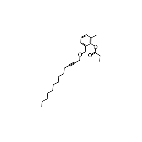 CCCCCCCCCCC#CCOCc1cccc(C)c1OC(=O)CC